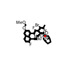 C#Cc1c(F)ccc2cc(OCOC)cc(-c3ncc4c(N5CC6CCC(C5)N6C(=O)OC(C)(C)C)nc(C)c(Br)c4c3F)c12